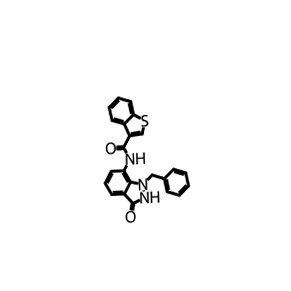 O=C(Nc1cccc2c(=O)[nH]n(Cc3ccccc3)c12)c1csc2ccccc12